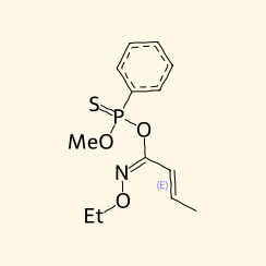 C/C=C/C(=NOCC)OP(=S)(OC)c1ccccc1